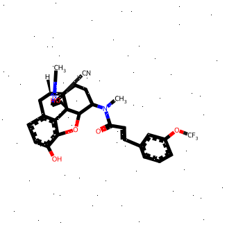 CN(C(=O)/C=C/c1cccc(OC(F)(F)F)c1)C1CC[C@@]2(O)[C@H]3Cc4ccc(O)c5c4[C@@]2(CC(C#N)N3C)C1O5